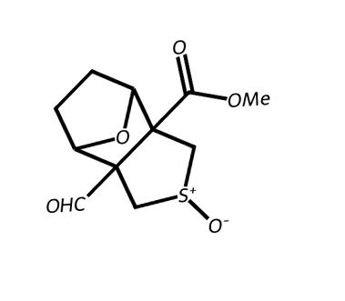 COC(=O)C12C[S+]([O-])CC1(C=O)C1CCC2O1